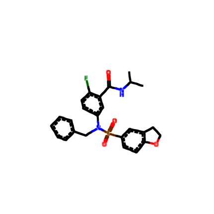 CC(C)NC(=O)c1cc(N(Cc2ccccc2)S(=O)(=O)c2ccc3c(c2)CCO3)ccc1F